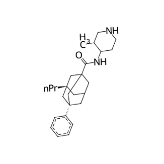 CCC[C@]12CC3CC(C(=O)NC4CCNCC4C)(C1)C[C@@](c1ccccc1)(C3)C2